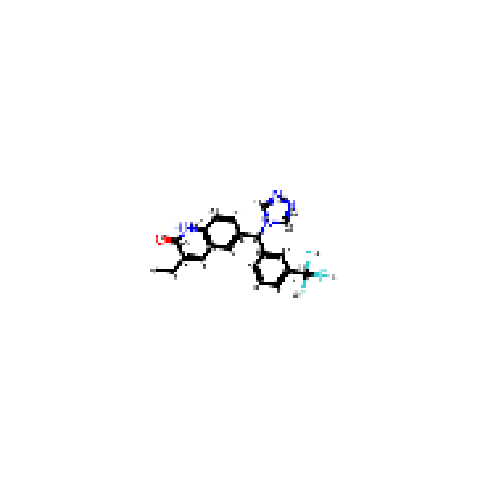 CCc1cc2cc(C(c3cccc(C(F)(F)F)c3)n3cnnc3)ccc2[nH]c1=O